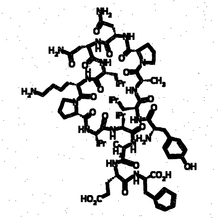 CC(C)C[C@H](NC(=O)[C@H](CC(N)=O)NC(=O)[C@H](CC(N)=O)NC(=O)[C@@H]1CCCN1C(=O)[C@H](C)NC(=O)[C@H](CC(C)C)NC(=O)[C@@H](N)Cc1ccc(O)cc1)C(=O)N[C@@H](CCCCN)C(=O)N1CCC[C@H]1C(=O)N[C@H](C(=O)N[C@H](C(=O)N[C@@H](C)C(=O)N[C@@H](CCC(=O)O)C(=O)N[C@@H](Cc1ccccc1)C(=O)O)C(C)C)C(C)C